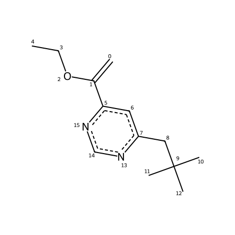 C=C(OCC)c1cc(CC(C)(C)C)ncn1